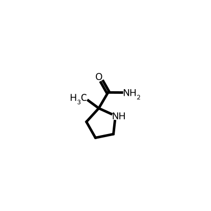 CC1(C(N)=O)CCCN1